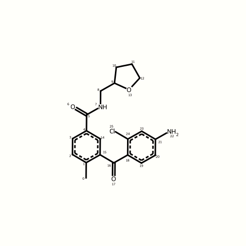 Cc1ccc(C(=O)NCC2CCCO2)cc1C(=O)c1ccc(N)cc1Cl